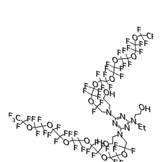 CCN(CCO)c1nc(N(CCO)CC(F)(F)OC(F)(F)C(F)(F)OC(F)(F)C(F)(F)OC(F)(F)C(F)(F)OC(F)(F)C(F)(F)OC(F)(F)C(F)(F)OC(F)(F)C(F)(F)F)nc(N(CCO)CC(F)(F)OC(F)(F)C(F)(F)OC(F)(F)C(F)(F)OC(F)(F)C(F)(F)OC(F)(F)C(F)(F)OC(F)(F)C(F)(F)OC(F)(F)C(F)(F)F)n1